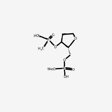 COP(=O)(O)OC[C@H]1OCCC1OP(C)(=O)O